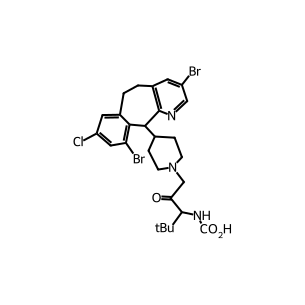 CC(C)(C)C(NC(=O)O)C(=O)CN1CCC(C2c3ncc(Br)cc3CCc3cc(Cl)cc(Br)c32)CC1